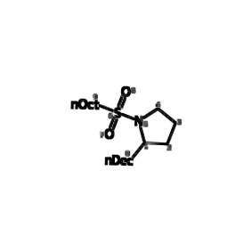 CCCCCCCCCCC1CCCN1S(=O)(=O)CCCCCCCC